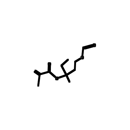 C=C(C)C(=O)OC(C)(CC)CCOC=O